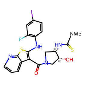 CNC(=S)N[C@H]1CN(C(=O)c2c(Nc3ccc(I)cc3F)sc3ncccc23)C[C@H]1O